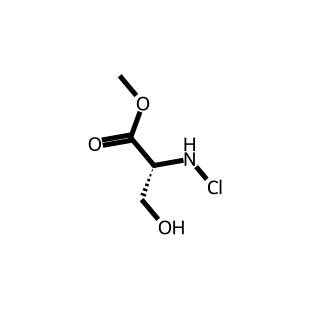 COC(=O)[C@@H](CO)NCl